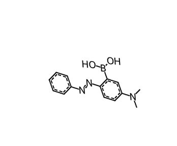 CN(C)c1ccc(N=Nc2ccccc2)c(B(O)O)c1